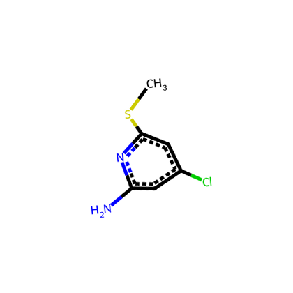 CSc1cc(Cl)cc(N)n1